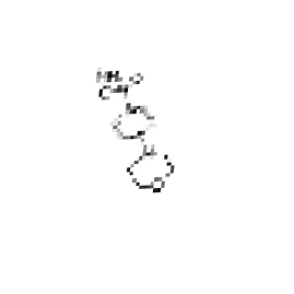 NOC(=O)c1ccc(N2CCOCC2)cc1